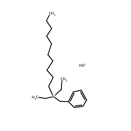 CCCCCCCCCC[N+](CC)(CC)Cc1ccccc1.[OH-]